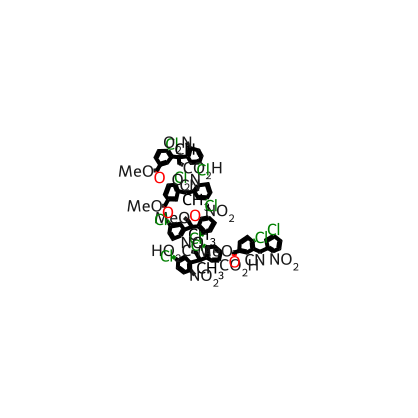 CC(CC(=O)O)(c1cc(C(=O)O)ccc1Cl)c1cc(Cl)ccc1[N+](=O)[O-].COC(=O)C(C)(c1cc([N+](=O)[O-])ccc1Cl)c1cc(Cl)ccc1[N+](=O)[O-].COC(=O)c1ccc(Cl)c(C(C#N)c2cc(Cl)ccc2[N+](=O)[O-])c1.COC(=O)c1ccc(Cl)c(C(C)(C#N)c2cc(Cl)ccc2[N+](=O)[O-])c1.COC(=O)c1ccc(Cl)c(C(C)(CC(=O)O)c2cc(Cl)ccc2[N+](=O)[O-])c1